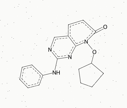 O=c1ccc2cnc(Nc3ccccc3)nc2n1OC1CCCC1